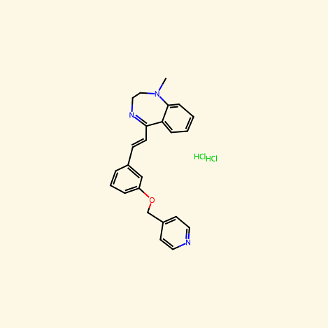 CN1CCN=C(C=Cc2cccc(OCc3ccncc3)c2)c2ccccc21.Cl.Cl